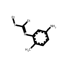 CCS/C(CC)=N/c1cc(N)ccc1C